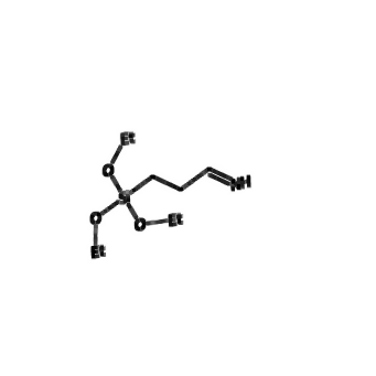 CCO[Si](CCC=N)(OCC)OCC